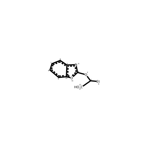 CCC(Oc1nc2ccccc2o1)C(=O)O